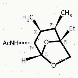 CC[C@@]12CO[C@@H](O1)[C@H](NC(C)=O)[C@@H](C)[C@H]2C